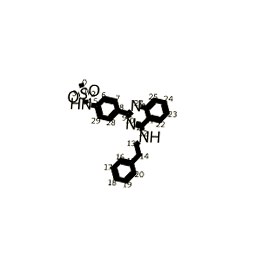 CS(=O)(=O)Nc1ccc(-c2nc(NCCc3ccccc3)c3ccccc3n2)cc1